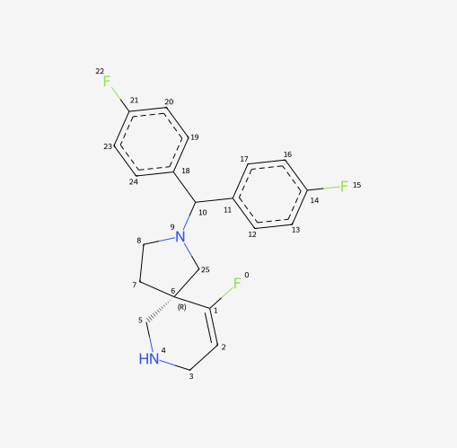 FC1=CCNC[C@@]12CCN(C(c1ccc(F)cc1)c1ccc(F)cc1)C2